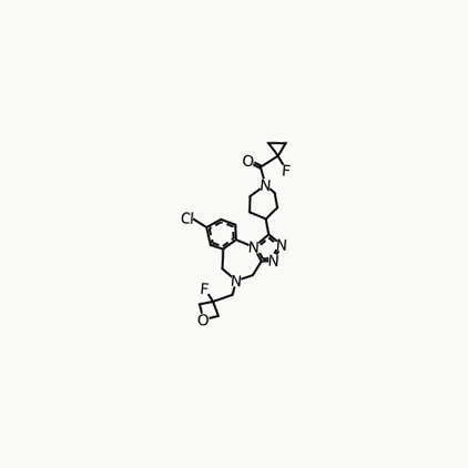 O=C(N1CCC(c2nnc3n2-c2ccc(Cl)cc2CN(CC2(F)COC2)C3)CC1)C1(F)CC1